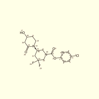 O=C(Oc1ccc(Cl)cn1)N1C[C@H](N2CCC(O)CC2=O)CC(F)(F)C1